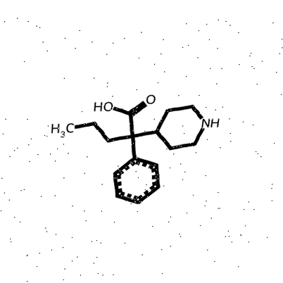 CCCC(C(=O)O)(c1ccccc1)C1CCNCC1